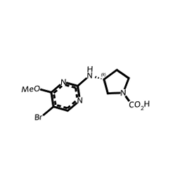 COc1nc(N[C@@H]2CCN(C(=O)O)C2)ncc1Br